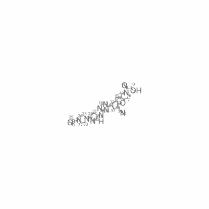 C[C@H](O)C(=O)N1CC[C@H](Oc2ccc(-c3ncnc(Nc4ccc(N5CCN(C6COC6)CC5)nc4)n3)cc2C#N)[C@@H](F)C1